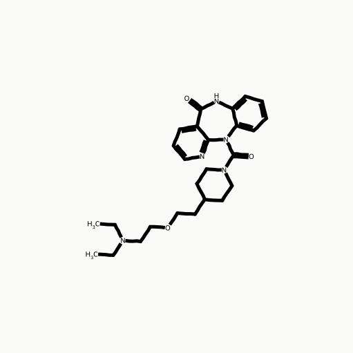 CCN(CC)CCOCCC1CCN(C(=O)N2c3ccccc3NC(=O)c3cccnc32)CC1